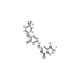 C[C@@H]1CCn2c(cc(OCc3ccc(Oc4ccc(C(F)(F)F)cc4)c(F)c3)nc2=O)N1C